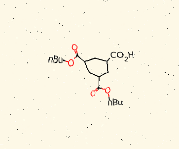 CCCCOC(=O)C1CC(C(=O)O)CC(C(=O)OCCCC)C1